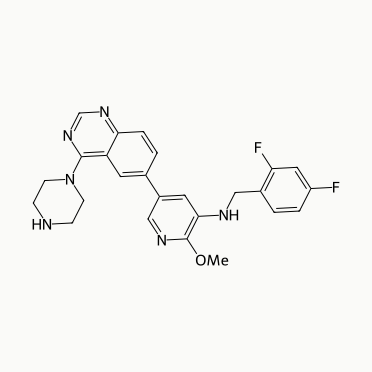 COc1ncc(-c2ccc3ncnc(N4CCNCC4)c3c2)cc1NCc1ccc(F)cc1F